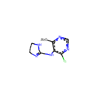 COc1ncnc(Cl)c1NC1=NCCN1